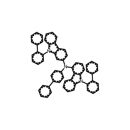 c1ccc(-c2ccc(N(c3ccc4c5ccccc5n(-c5ccccc5-c5ccccc5)c4c3)c3cccc4c3c3ccccc3n4-c3ccccc3-c3ccccc3)cc2)cc1